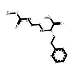 COC(=O)[C@H](CCc1ccccc1)NCCNC(=O)OC(C)(C)C